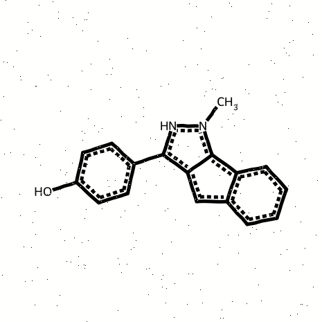 Cn1[nH]c(-c2ccc(O)cc2)c2cc3ccccc3c1-2